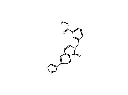 CNC(=O)c1cccc(Cn2cnc3cc(-c4cn[nH]c4)ccc3c2=O)c1